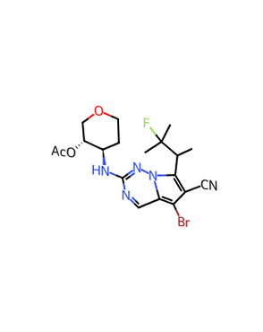 CC(=O)O[C@@H]1COCC[C@H]1Nc1ncc2c(Br)c(C#N)c(C(C)C(C)(C)F)n2n1